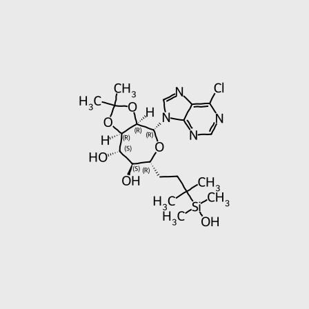 CC1(C)O[C@@H]2[C@@H](O)[C@H](O)[C@@H](CCC(C)(C)[Si](C)(C)O)O[C@@H](n3cnc4c(Cl)ncnc43)[C@@H]2O1